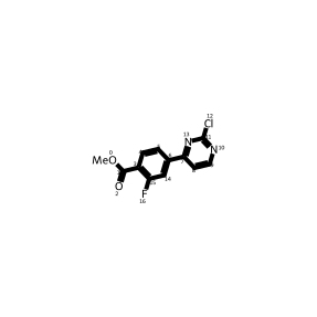 COC(=O)c1ccc(-c2ccnc(Cl)n2)cc1F